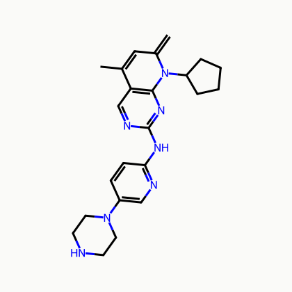 C=C1C=C(C)c2cnc(Nc3ccc(N4CCNCC4)cn3)nc2N1C1CCCC1